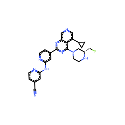 N#Cc1ccnc(Nc2cc(-c3nc(N4CCN[C@@H](CF)C4)c4c(C5CC5)cncc4n3)ccn2)c1